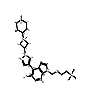 C[Si](C)(C)CCOCn1ccc2c(-c3cnn(C4CN(C5CCNCC5)C4)c3)c(F)cnc21